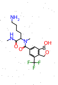 CNC(=O)C(CCCCN)N(C)C(=O)c1cc2c(c(C(F)(F)F)c1)COB2O